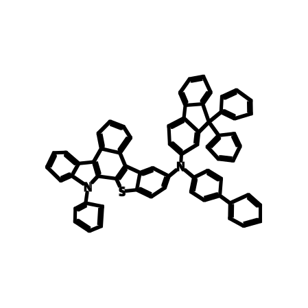 c1ccc(-c2ccc(N(c3ccc4c(c3)C(c3ccccc3)(c3ccccc3)c3ccccc3-4)c3ccc4sc5c(c4c3)c3ccccc3c3c4ccccc4n(-c4ccccc4)c53)cc2)cc1